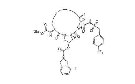 CC(C)(C)OC(=O)N[C@H]1CCCCCCC[C@@H]2C[C@@]2(C(=O)NS(=O)(=O)Cc2ccc(C(F)(F)F)cc2)NC(=O)[C@@H]2C[C@@H](OC(=O)N3Cc4cccc(F)c4C3)CN2C1=O